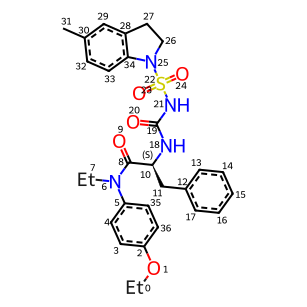 CCOc1ccc(N(CC)C(=O)[C@H](Cc2ccccc2)NC(=O)NS(=O)(=O)N2CCc3cc(C)ccc32)cc1